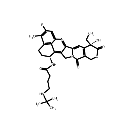 CC[C@@]1(O)C(=O)OCc2c1cc1n(c2=O)Cc2c-1nc1cc(F)c(C)c3c1c2[C@@H](NC(=O)CCCNC(C)(C)C)CC3